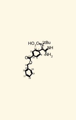 CC(C)(C)N(C(=O)O)C(C(=N)N)c1ccc(C(=O)OCc2ccccc2)cc1